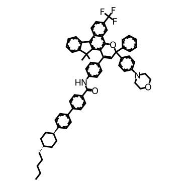 CCCCC[C@H]1CC[C@H](c2ccc(-c3ccc(C(=O)Nc4ccc(C5=CC(c6ccccc6)(c6ccc(N7CCOCC7)cc6)Oc6c5c5c(c7ccc(C(F)(F)F)cc67)-c6ccccc6C5(C)C)cc4)cc3)cc2)CC1